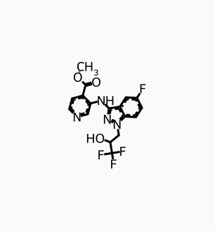 COC(=O)c1ccncc1Nc1nn(CC(O)C(F)(F)F)c2ccc(F)cc12